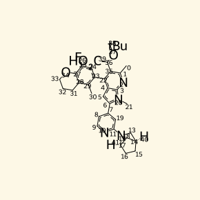 Cc1nc2c(cc(-c3ccnc(N4C[C@H]5CC[C@@H]4C5)c3)n2C)c(-c2cc(F)c3c(c2C)CCCO3)c1[C@H](OC(C)(C)C)C(=O)O